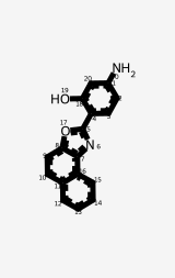 Nc1ccc(-c2nc3c(ccc4ccccc43)o2)c(O)c1